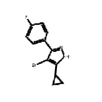 Fc1ccc(-c2n[nH]c(C3CC3)c2Br)cc1